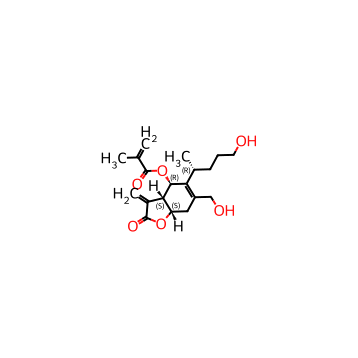 C=C(C)C(=O)O[C@H]1C([C@H](C)CCCO)=C(CO)C[C@@H]2OC(=O)C(=C)[C@@H]21